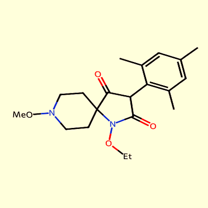 CCON1C(=O)C(c2c(C)cc(C)cc2C)C(=O)C12CCN(OC)CC2